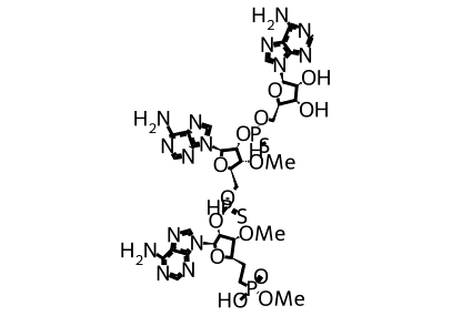 CO[C@H]1[C@@H](O[PH](=S)OC[C@H]2O[C@@H](n3cnc4c(N)ncnc43)[C@H](O[PH](=S)OC[C@H]3O[C@@H](n4cnc5c(N)ncnc54)[C@H](O)[C@@H]3O)[C@@H]2OC)[C@H](n2cnc3c(N)ncnc32)O[C@@H]1CCP(=O)(O)OC